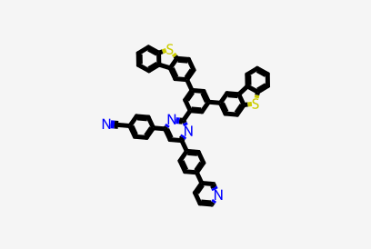 N#Cc1ccc(-c2cc(-c3ccc(-c4cccnc4)cc3)nc(-c3cc(-c4ccc5sc6ccccc6c5c4)cc(-c4ccc5sc6ccccc6c5c4)c3)n2)cc1